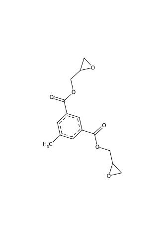 Cc1cc(C(=O)OCC2CO2)cc(C(=O)OCC2CO2)c1